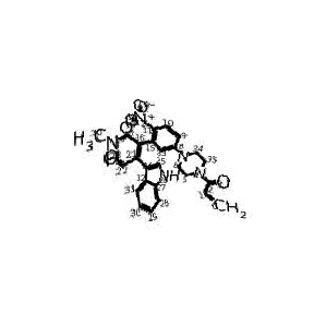 C=CC(=O)N1CCN(c2ccc([N+](=O)[O-])c(/C(C(=O)NC)=C(/C=O)c3c[nH]c4ccccc34)c2)CC1